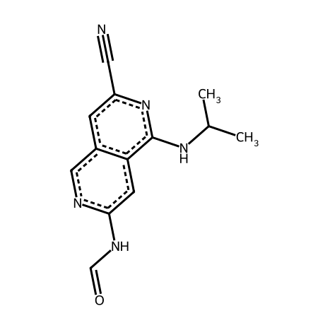 CC(C)Nc1nc(C#N)cc2cnc(NC=O)cc12